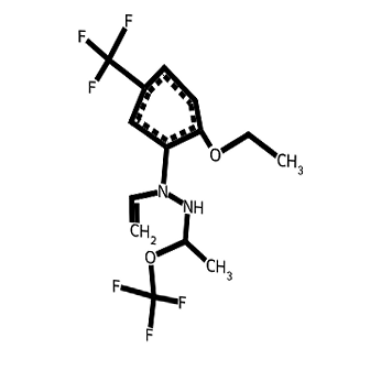 C=CN(NC(C)OC(F)(F)F)c1cc(C(F)(F)F)ccc1OCC